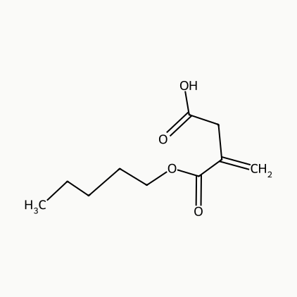 C=C(CC(=O)O)C(=O)OCCCCC